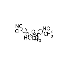 Cc1cc(NC(=O)C(C)(O)COc2ccc(C#N)c(Cl)c2)ccc1[N+](=O)[O-]